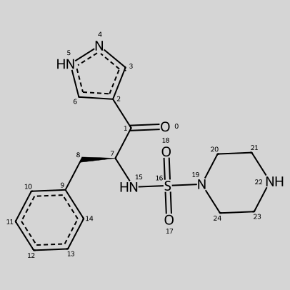 O=C(c1[c]n[nH]c1)[C@H](Cc1ccccc1)NS(=O)(=O)N1CCNCC1